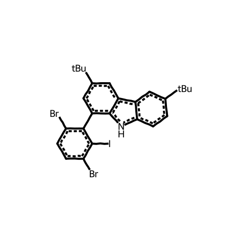 CC(C)(C)c1ccc2[nH]c3c(-c4c(Br)ccc(Br)c4I)cc(C(C)(C)C)cc3c2c1